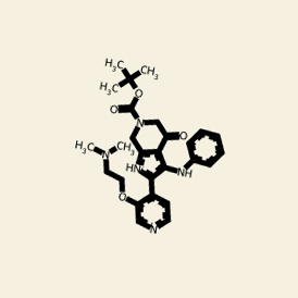 CN(C)CCOc1cnccc1-c1[nH]c2c(c1Nc1ccccc1)C(=O)CN(C(=O)OC(C)(C)C)C2